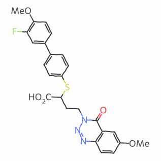 COc1ccc2nnn(CCC(Sc3ccc(-c4ccc(OC)c(F)c4)cc3)C(=O)O)c(=O)c2c1